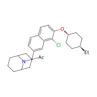 CC[C@H]1CC[C@@H](Oc2ccc3ccc(CN4C5CCCC4CC(C(C)=O)C5)cc3c2Cl)CC1